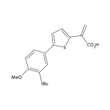 C=C(C(=O)O)c1ccc(-c2ccc(OC)c(C(C)(C)C)c2)s1